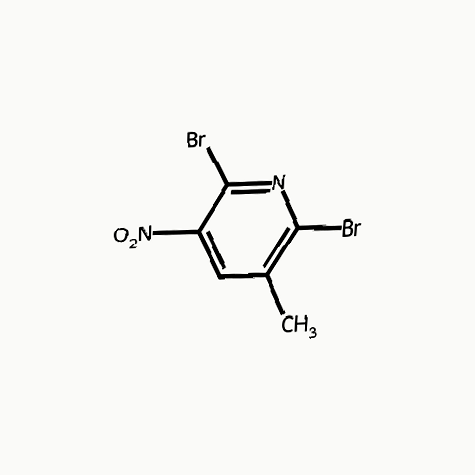 Cc1cc([N+](=O)[O-])c(Br)nc1Br